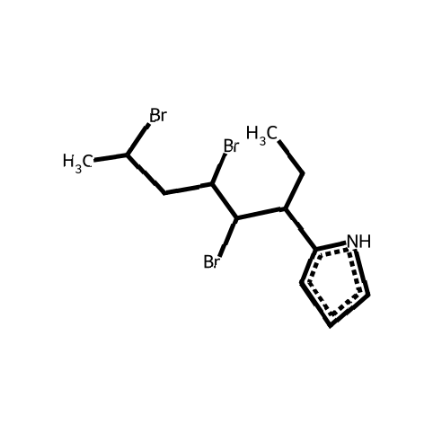 CCC(c1ccc[nH]1)C(Br)C(Br)CC(C)Br